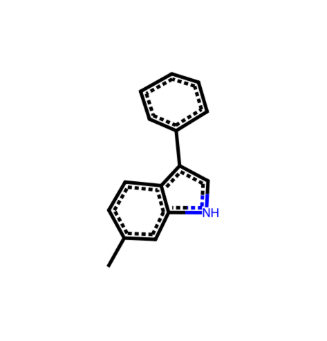 Cc1ccc2c(-c3ccccc3)c[nH]c2c1